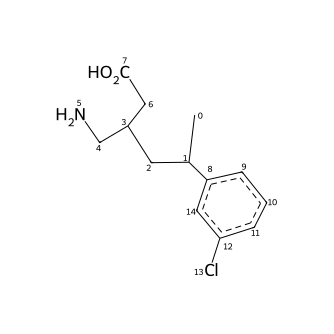 CC(CC(CN)CC(=O)O)c1cccc(Cl)c1